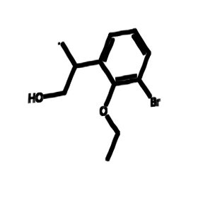 [CH2]C(CO)c1cccc(Br)c1OCC